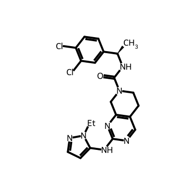 CCn1nccc1Nc1ncc2c(n1)CN(C(=O)N[C@H](C)c1ccc(Cl)c(Cl)c1)CC2